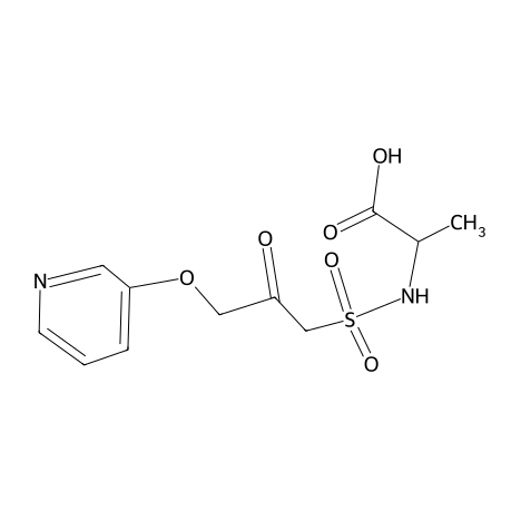 CC(NS(=O)(=O)CC(=O)COc1cccnc1)C(=O)O